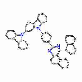 c1ccc2c(-c3nc(-c4ccc(-n5c6ccccc6c6ccc(-n7c8ccccc8c8ccccc87)cc65)cc4)nc4ccc5ccccc5c34)cccc2c1